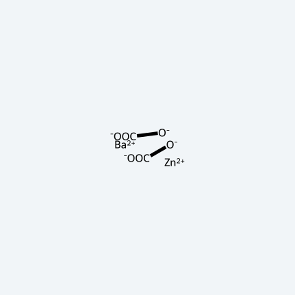 O=C([O-])[O-].O=C([O-])[O-].[Ba+2].[Zn+2]